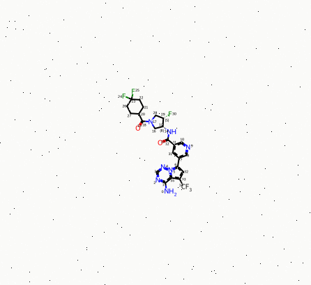 Nc1ncnn2c(-c3cncc(C(=O)N[C@@H]4CN(C(=O)C5CCC(F)(F)CC5)C[C@@H]4F)c3)cc(C(F)(F)F)c12